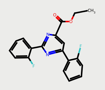 CCOC(=O)c1cc(-c2ccccc2F)nc(-c2ccccc2F)n1